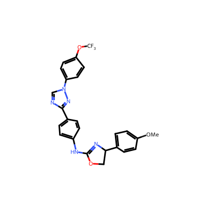 COc1ccc(C2COC(Nc3ccc(-c4ncn(-c5ccc(OC(F)(F)F)cc5)n4)cc3)=N2)cc1